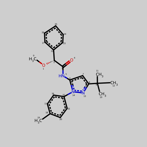 CO[C@@H](C(=O)Nc1cc(C(C)(C)C)nn1-c1ccc(C)cc1)c1ccccc1